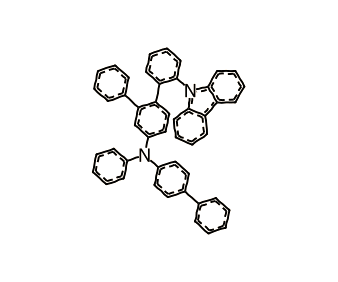 c1ccc(-c2ccc(N(c3ccccc3)c3ccc(-c4ccccc4-n4c5ccccc5c5ccccc54)c(-c4ccccc4)c3)cc2)cc1